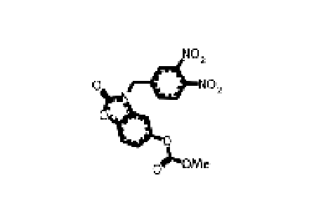 COC(=O)Oc1ccc2oc(=O)n(Cc3ccc([N+](=O)[O-])c([N+](=O)[O-])c3)c2c1